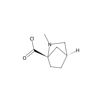 CN1C[C@H]2CC[C@@]1(C(=O)Cl)C2